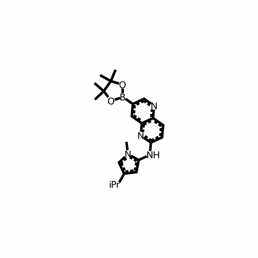 CC(C)c1cc(Nc2ccc3ncc(B4OC(C)(C)C(C)(C)O4)cc3n2)n(C)c1